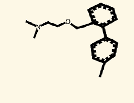 Cc1ccc(-c2ccccc2COCCN(C)C)cc1